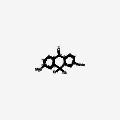 CCC1(CC)c2cc(OC)ccc2C(=O)c2ccc(OC)cc21